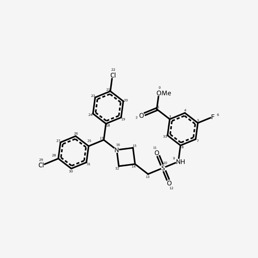 COC(=O)c1cc(F)cc(NS(=O)(=O)CC2CN(C(c3ccc(Cl)cc3)c3ccc(Cl)cc3)C2)c1